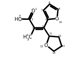 CC(C(=O)O)=C(c1ccco1)C1CCCO1